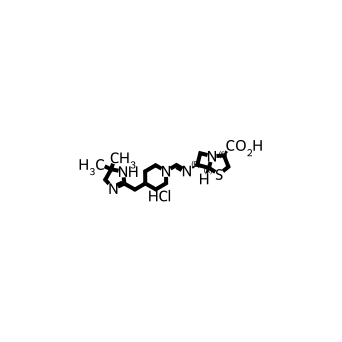 CC1(C)CN=C(CC2CCN(C=N[C@@H]3CN4[C@@H](C(=O)O)CS[C@H]34)CC2)N1.Cl